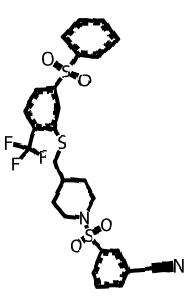 N#Cc1cccc(S(=O)(=O)N2CCC(CSc3cc(S(=O)(=O)c4ccccc4)ccc3C(F)(F)F)CC2)c1